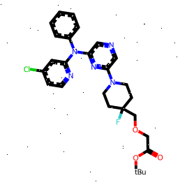 CC(C)(C)OC(=O)COCC1(F)CCN(c2cncc(N(c3ccccc3)c3cc(Cl)ccn3)n2)CC1